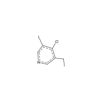 CCc1cncc(I)c1Cl